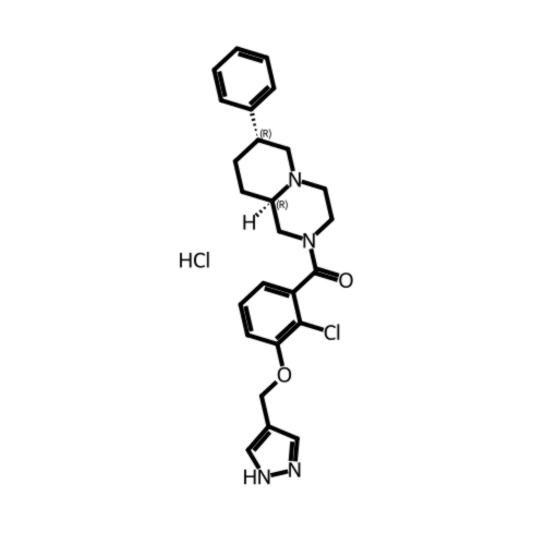 Cl.O=C(c1cccc(OCc2cn[nH]c2)c1Cl)N1CCN2C[C@@H](c3ccccc3)CC[C@@H]2C1